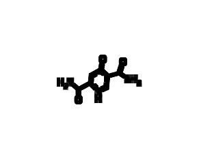 NC(=O)c1cc(=O)c(C(N)=O)c[nH]1